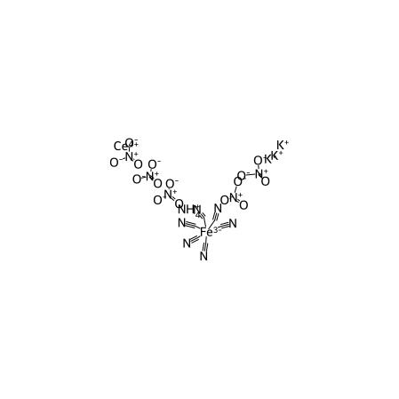 N#[C][Fe-3]([C]#N)([C]#N)([C]#N)([C]#N)[C]#N.O=[N+]([O-])[O-].O=[N+]([O-])[O-].O=[N+]([O-])[O-].O=[N+]([O-])[O-].O=[N+]([O-])[O-].[Ce+4].[K+].[K+].[K+].[NH4+]